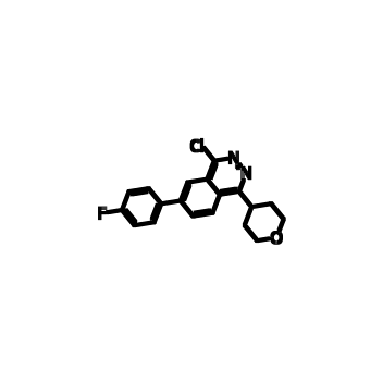 Fc1ccc(-c2ccc3c(C4CCOCC4)nnc(Cl)c3c2)cc1